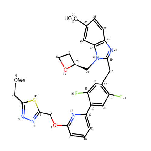 COCc1nnc(COc2cccc(-c3cc(F)c(Cc4nc5ccc(C(=O)O)cc5n4C[C@@H]4CCO4)cc3F)n2)s1